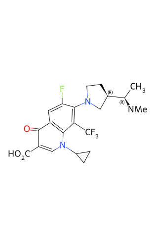 CN[C@H](C)[C@@H]1CCN(c2c(F)cc3c(=O)c(C(=O)O)cn(C4CC4)c3c2C(F)(F)F)C1